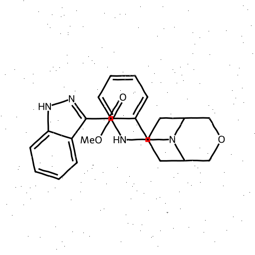 COc1ccccc1CN1C2COCC1CC(NC(=O)c1n[nH]c3ccccc13)C2